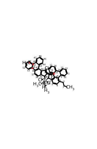 CCCc1ccc2c(c1-c1ccccc1-c1ccccc1)C=C(CC)[CH]2[Zr]([Cl])([Cl])([CH]1C(CC)=Cc2c1ccc(CCC)c2-c1ccccc1-c1ccccc1)[SiH](C)C